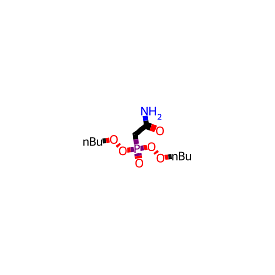 CCCCOOP(=O)(CC(N)=O)OOCCCC